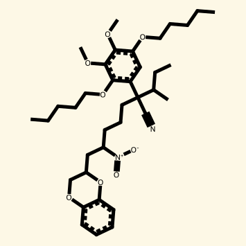 CCCCCOc1cc(C(C#N)(CCCC(CC2COc3ccccc3O2)[N+](=O)[O-])C(C)CC)c(OCCCCC)c(OC)c1OC